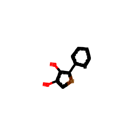 Oc1csc(-c2bcccc2)c1O